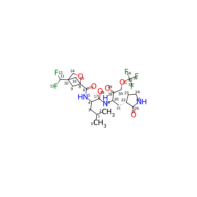 CC(C)CC(NC(=O)C12CC(C(F)F)(CO1)C2)C(=O)NC(C[C@@H]1CCNC1=O)C(=O)COC(F)(F)F